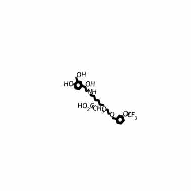 CC(=O)O.OCc1cc([C@@H](O)CNCCCCCCOCCOCc2cccc(OC(F)(F)F)c2)ccc1O